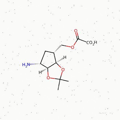 CC1(C)O[C@@H]2[C@@H](COC(=O)C(=O)O)C[C@@H](N)[C@@H]2O1